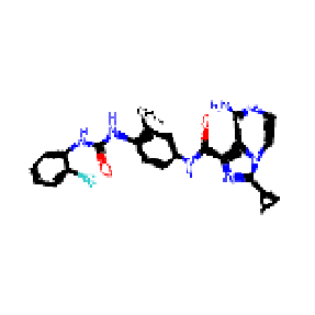 Cc1cc(NC(=O)c2nc(C3CC3)n3ccnc(N)c23)ccc1NC(=O)Nc1ccccc1F